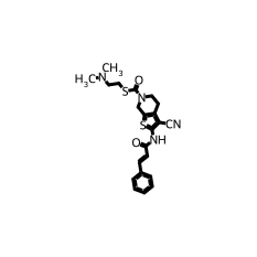 CN(C)CCSC(=O)N1CCc2c(sc(NC(=O)C=Cc3ccccc3)c2C#N)C1